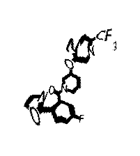 O=C(c1cc(F)ccc1-c1ncco1)N1CCCC(Oc2cnc(C(F)(F)F)cn2)C1